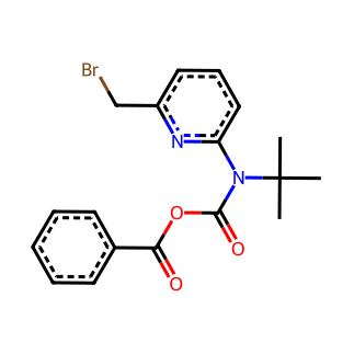 CC(C)(C)N(C(=O)OC(=O)c1ccccc1)c1cccc(CBr)n1